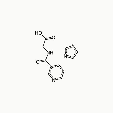 O=C(O)CNC(=O)c1cccnc1.c1cscn1